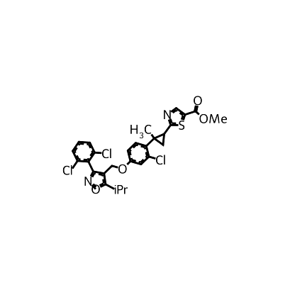 COC(=O)c1cnc(C2CC2(C)c2ccc(OCc3c(-c4c(Cl)cccc4Cl)noc3C(C)C)cc2Cl)s1